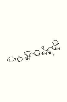 N[C@@H](Cc1c[nH]c2ccccc12)C(=O)Nc1ccc(-c2ccnc(Nc3ccc(N4CCOCC4)cc3)n2)cc1